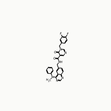 CN(c1ccccc1)c1ncnc2ccc(CNC(=O)c3cncn(Cc4ccc(F)c(F)c4)c3=O)cc12